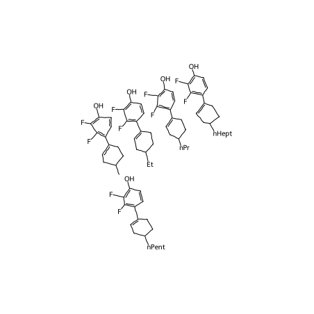 CC1CC=C(c2ccc(O)c(F)c2F)CC1.CCC1CC=C(c2ccc(O)c(F)c2F)CC1.CCCC1CC=C(c2ccc(O)c(F)c2F)CC1.CCCCCC1CC=C(c2ccc(O)c(F)c2F)CC1.CCCCCCCC1CC=C(c2ccc(O)c(F)c2F)CC1